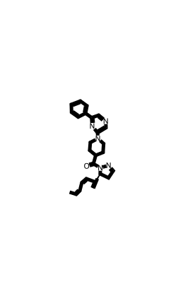 C=C(/C=C\C=C/C)[C@@H]1CC=NN1C(=O)C1CCN(c2cncc(-c3ccccc3)n2)CC1